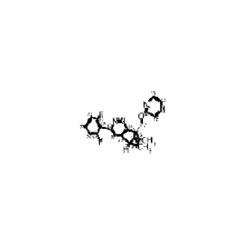 CC1(C)[C@H]2CC[C@]1(COc1cnccn1)c1nnc(-c3c(F)cccc3F)cc12